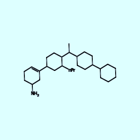 CCCC1CC(C2=CCCC(N)C2)CCC1C(C)C1CCC(C2CCCCC2)CC1